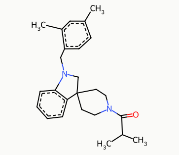 Cc1ccc(CN2CC3(CCN(C(=O)C(C)C)CC3)c3ccccc32)c(C)c1